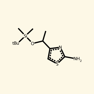 CC(O[Si](C)(C)C(C)(C)C)c1csc(N)n1